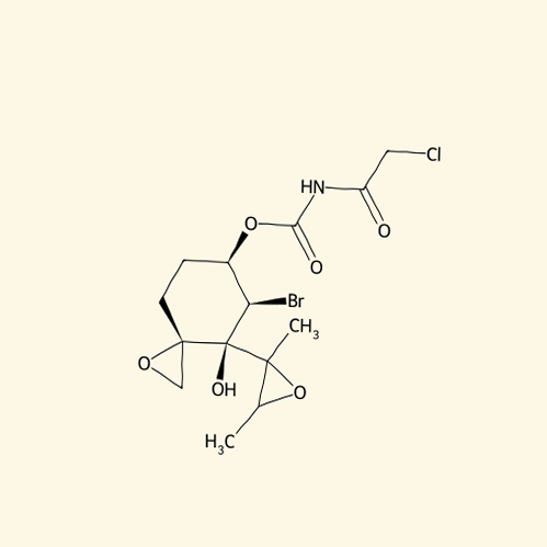 CC1OC1(C)[C@@]1(O)[C@H](Br)[C@H](OC(=O)NC(=O)CCl)CC[C@]12CO2